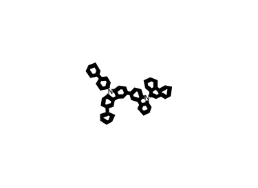 c1ccc(-c2ccc(-n3c4ccc(-c5ccccc5)cc4c4cc(-c5ccc6c(c5)c5ccccc5n6-c5cc6ccccc6c6ccccc56)ccc43)cc2)cc1